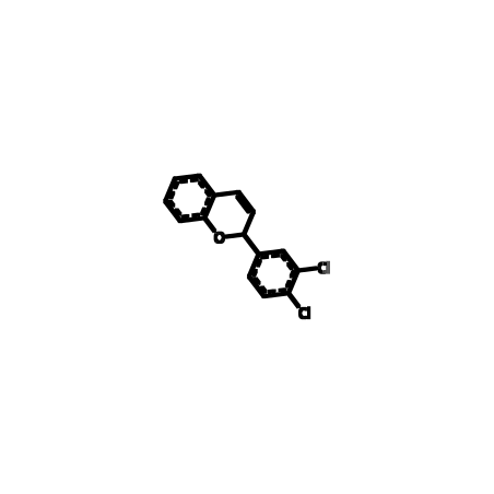 Clc1ccc(C2C=Cc3ccccc3O2)cc1Cl